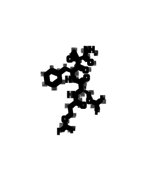 NC(=O)[C@]1(C(=O)[C@H](Cc2ccccc2)NC(=O)[C@H](COC(F)F)NC(=O)[CH]COC(F)F)CO1